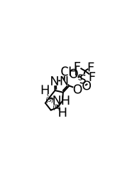 Cn1nc2c(c1OS(=O)(=O)C(F)(F)F)C[C@H]1CC[C@@H]2N1